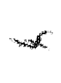 C[C@H](CCCNCCCCNCCCN)C1CC[C@H]2[C@@H]3[C@H](OCCCN)C[C@@H]4C[C@H](OCCCN)CC[C@]4(C)[C@H]3C[C@H](OCCCN)[C@]12C